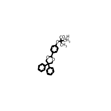 CC(C)(Oc1ccc(C2OCC(c3ccccc3)(c3ccccc3)CO2)cc1)C(=O)O